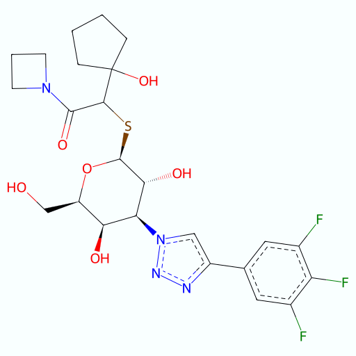 O=C(C(S[C@@H]1O[C@H](CO)[C@H](O)[C@H](n2cc(-c3cc(F)c(F)c(F)c3)nn2)[C@H]1O)C1(O)CCCC1)N1CCC1